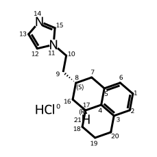 Cl.c1cc2c3c(c1)C[C@@H](CCn1ccnc1)C[C@H]3CCC2